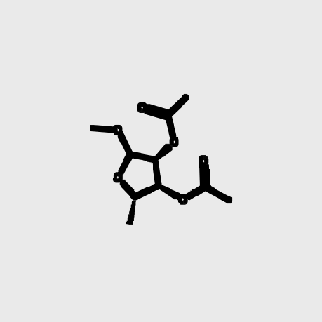 COC1O[C@@H](C)[C@H](OC(C)=O)[C@@H]1OC(C)=O